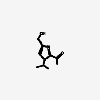 CC(=O)c1nc(CO)cn1C(C)C